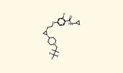 CC(C)(CN1CCC([C@H]2C[C@H]2CCOc2ccc(C(=O)NC3CC3)c(F)c2)CC1)C(F)(F)F